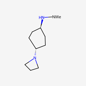 CNN[C@H]1CC[C@H](N2CCC2)CC1